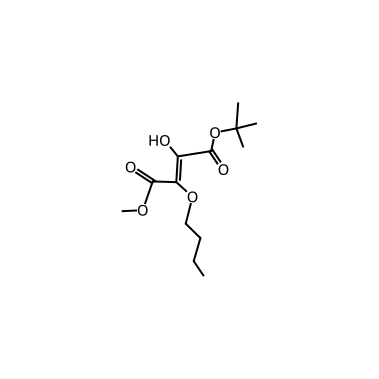 CCCCO/C(C(=O)OC)=C(/O)C(=O)OC(C)(C)C